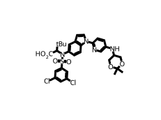 CC1(C)OCC(Nc2ccc(-n3ccc4cc(N(C(C(=O)O)C(C)(C)C)S(=O)(=O)c5cc(Cl)cc(Cl)c5)ccc43)nc2)CO1